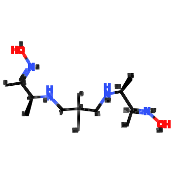 C/C(=N\O)[C@H](C)NCC(C)(C)CN[C@@H](C)/C(C)=N/O